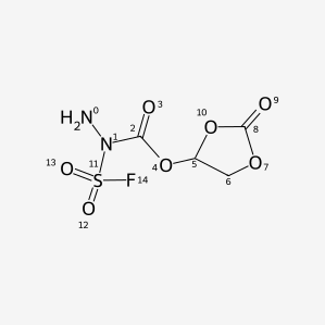 NN(C(=O)OC1COC(=O)O1)S(=O)(=O)F